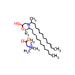 CCCCCCCCCCCC(C)N(CC(=O)O)C(C)CCCCCCCCCCC.C[N+](C)(C)CC(=O)[O-]